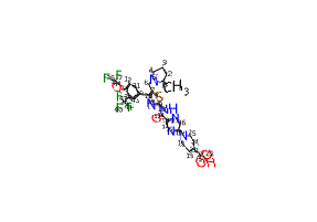 C[C@@H]1CCCN1Cc1sc(NC(=O)c2cnc(N3CCC(C(=O)O)CC3)cn2)nc1-c1ccc(OC(F)F)c(C(F)(F)F)c1